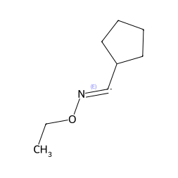 CCO/N=[C]/C1CCCC1